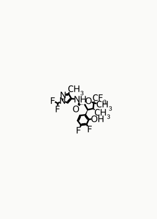 Cc1nn(C(F)F)cc1NC(=O)[C@@H]1O[C@@](C)(C(F)(F)F)[C@@H](C)[C@H]1c1ccc(F)c(F)c1O